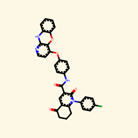 O=C1CCCc2c1cc(C(=O)Nc1ccc(Oc3ccnc4c3Oc3ccccc3N4)cc1)c(=O)n2-c1ccc(F)cc1